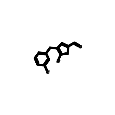 O=Cc1cc(Cc2cccc(Cl)c2)c(Br)s1